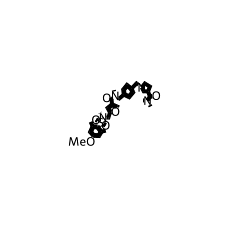 COc1cc(C)c(S(=O)(=O)N(C)Cc2cc(C(=O)N(C)Cc3ccc(CN4CCC(C(=O)N(C)C)C4)cc3)co2)c(C)c1